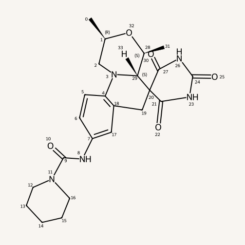 C[C@@H]1CN2c3ccc(NC(=O)N4CCCCC4)cc3CC3(C(=O)NC(=O)NC3=O)[C@H]2[C@H](C)O1